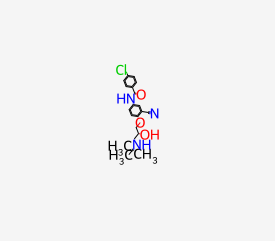 CC(C)(C)NCC(O)COc1ccc(NC(=O)c2ccc(Cl)cc2)cc1C#N